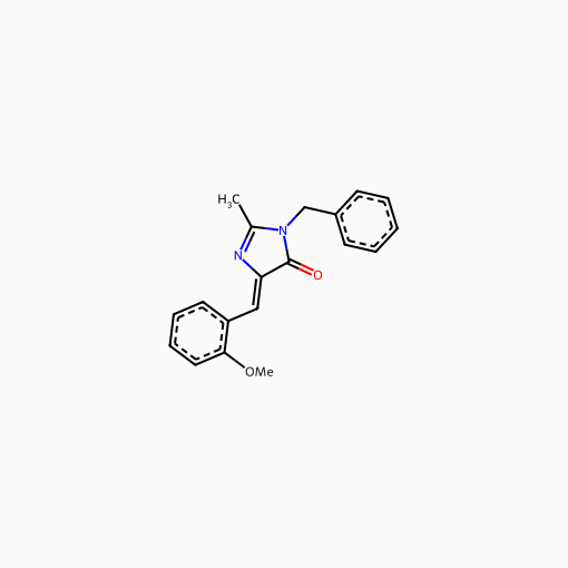 COc1ccccc1/C=C1\N=C(C)N(Cc2ccccc2)C1=O